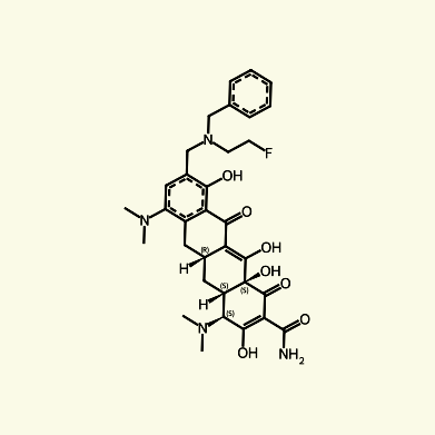 CN(C)c1cc(CN(CCF)Cc2ccccc2)c(O)c2c1C[C@H]1C[C@H]3[C@H](N(C)C)C(O)=C(C(N)=O)C(=O)[C@@]3(O)C(O)=C1C2=O